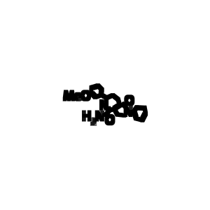 COc1cccc(C2CCC3=C(CCN(c4ccccc4)C3=O)C(C(N)=O)=N2)c1